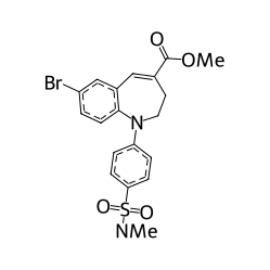 CNS(=O)(=O)c1ccc(N2CCC(C(=O)OC)=Cc3cc(Br)ccc32)cc1